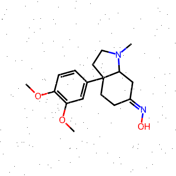 COc1ccc(C23CC/C(=N\O)CC2N(C)CC3)cc1OC